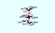 COCC(OC(C)=O)C(OC(C)=O)[C@H](OCCOC(C)=O)O[C@H]1C(COC)[C@@](OC)(OCO[C@H](C(O)COC(C)=O)[C@@H](COC(C)=O)OC(C)=O)C1C(=O)OC